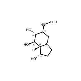 O=CN[C@H]1CN2CC[C@H](O)[C@@H]2[C@@H](O)[C@@H]1O